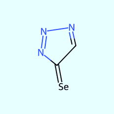 [Se]=C1C=NN=N1